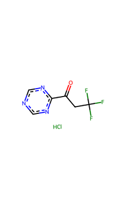 Cl.O=C(CC(F)(F)F)c1ncncn1